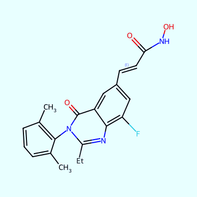 CCc1nc2c(F)cc(/C=C/C(=O)NO)cc2c(=O)n1-c1c(C)cccc1C